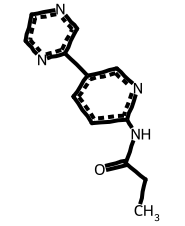 CCC(=O)Nc1ccc(-c2cnccn2)cn1